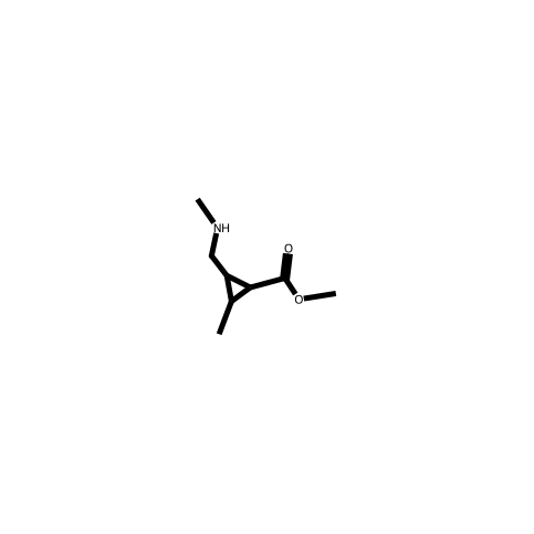 CNCC1C(C)C1C(=O)OC